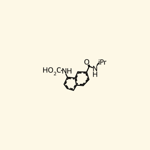 CC(C)NC(=O)c1ccc2cccc(NC(=O)O)c2c1